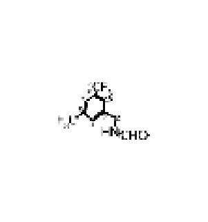 O=[C]NCc1cc(C(F)(F)F)cc(C(F)(F)F)c1